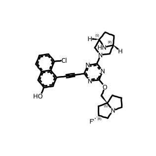 Oc1cc(C#Cc2nc(OC[C@@]34CCCN3C[C@H](F)C4)nc(N3C[C@H]4CC[C@@H](C3)N4)n2)c2c(Cl)cccc2c1